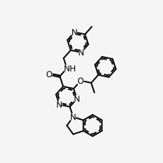 Cc1cnc(CNC(=O)c2cnc(N3CCc4ccccc43)nc2OC(C)c2ccccc2)cn1